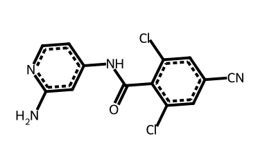 N#Cc1cc(Cl)c(C(=O)Nc2ccnc(N)c2)c(Cl)c1